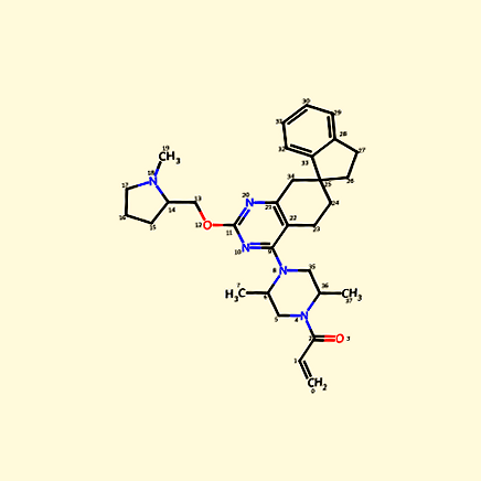 C=CC(=O)N1CC(C)N(c2nc(OCC3CCCN3C)nc3c2CCC2(CCc4ccccc42)C3)CC1C